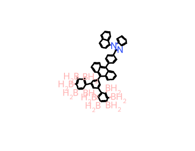 Bc1c(B)c(B)c(-c2cc(-c3c(B)c(B)c(B)c(B)c3B)cc(-c3c4ccccc4c(-c4ccc(-c5nc6ccccc6n5-c5cccc6ccccc56)cc4)c4ccccc34)c2)c(B)c1B